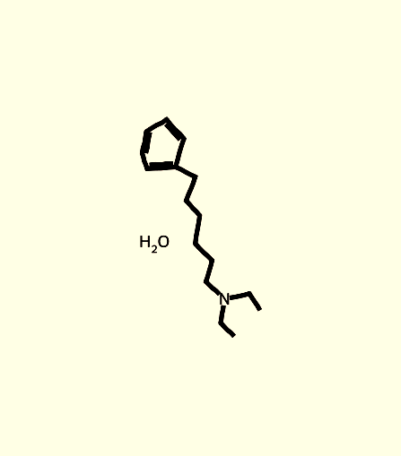 CCN(CC)CCCCCCc1ccccc1.O